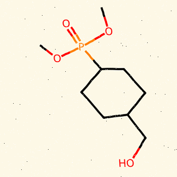 COP(=O)(OC)C1CCC(CO)CC1